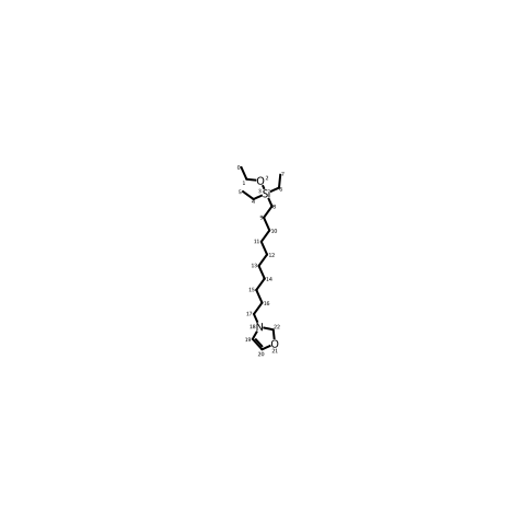 CCO[Si](CC)(CC)CCCCCCCCCCN1C=COC1